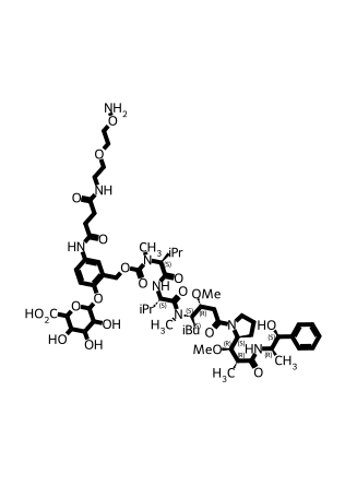 CC[C@H](C)[C@@H]([C@@H](CC(=O)N1CCC[C@H]1[C@H](OC)[C@@H](C)C(=O)N[C@H](C)[C@@H](O)c1ccccc1)OC)N(C)C(=O)[C@@H](NC(=O)[C@H](C(C)C)N(C)C(=O)OCc1cc(NC(=O)CCC(=O)NCCOCCON)ccc1OC1OC(C(=O)O)C(O)C(O)C1O)C(C)C